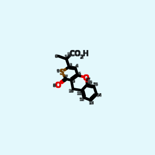 CC(C(=O)O)c1cc2c(c(=O)s1)Cc1ccccc1O2